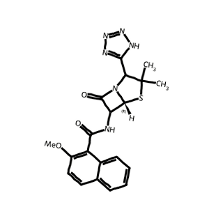 COc1ccc2ccccc2c1C(=O)NC1C(=O)N2C(c3nnn[nH]3)C(C)(C)S[C@H]12